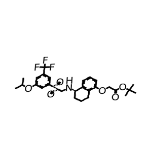 CC(C)Oc1cc(C(F)(F)F)cc(S(=O)(=O)CN[C@@H]2CCCc3c(OCC(=O)OC(C)(C)C)cccc32)c1